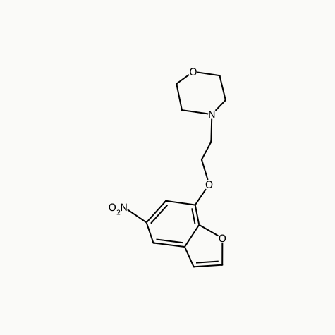 O=[N+]([O-])c1cc(OCCN2CCOCC2)c2occc2c1